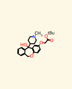 CN1CCC(C2(O)c3ccccc3COc3ccc(OCC(=O)OC(C)(C)C)cc32)CC1